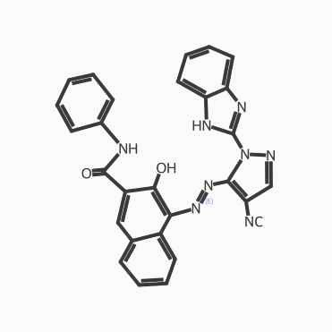 [C-]#[N+]c1cnn(-c2nc3ccccc3[nH]2)c1/N=N/c1c(O)c(C(=O)Nc2ccccc2)cc2ccccc12